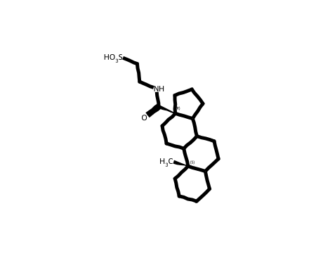 C[C@]12CCCCC1CCC1C3CCC[C@@]3(C(=O)NCCS(=O)(=O)O)CCC12